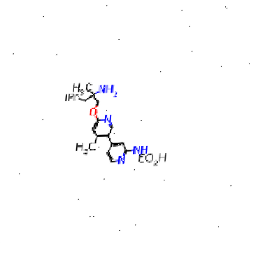 Cc1cc(OCC(C)(N)CC(C)C)ncc1-c1ccnc(NC(=O)O)c1